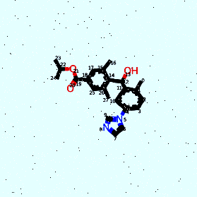 Cc1ccc(-n2ccnc2)cc1C(O)c1c(C)cc(C(=O)OC(C)C)cc1C